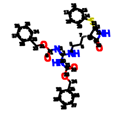 O=C(N=C(NCCC[C@H]1C(=O)N[C@@H]1Sc1ccccc1)NC(=O)OCc1ccccc1)OCc1ccccc1